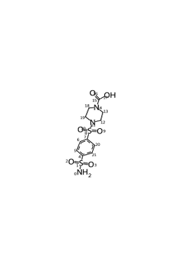 NS(=O)(=O)c1ccc(S(=O)(=O)N2CCN(C(=O)O)CC2)cc1